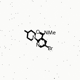 CNC(=O)c1cc(Br)cnc1N1CCC(C)CC1